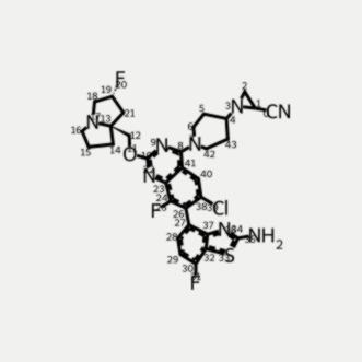 N#CC1CN1C1CCN(c2nc(OC[C@@]34CCCN3C[C@H](F)C4)nc3c(F)c(-c4ccc(F)c5sc(N)nc45)c(Cl)cc23)CC1